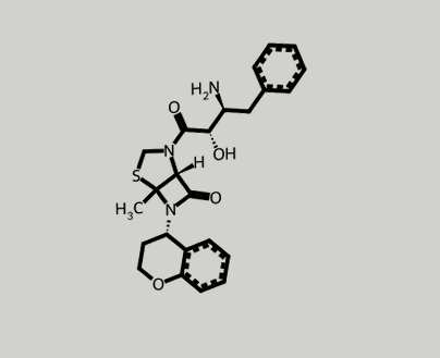 CC12SCN(C(=O)[C@@H](O)[C@@H](N)Cc3ccccc3)[C@@H]1C(=O)N2[C@H]1CCOc2ccccc21